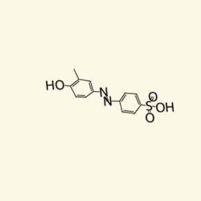 Cc1cc(N=Nc2ccc(S(=O)(=O)O)cc2)ccc1O